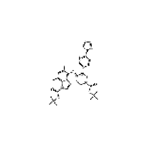 Cc1cc(C)c2c(ccn2C(=O)OC(C)(C)C)c1O[C@@H]1CCN(C(=O)OC(C)(C)C)C[C@H]1c1ccc(-n2cccn2)nc1